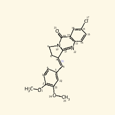 COc1ccc(/C=C2\CCn3c2nc2ccc(Cl)cc2c3=O)cc1OC